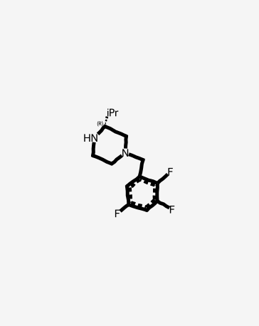 CC(C)[C@@H]1CN(Cc2cc(F)cc(F)c2F)CCN1